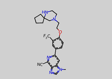 Cn1cnc2c(C#N)nc(-c3ccc(OCCN4CCNC5(CCCC5)C4)c(C(F)(F)F)c3)cc21